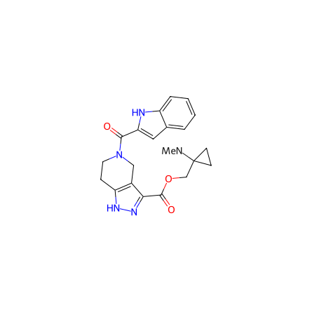 CNC1(COC(=O)c2n[nH]c3c2CN(C(=O)c2cc4ccccc4[nH]2)CC3)CC1